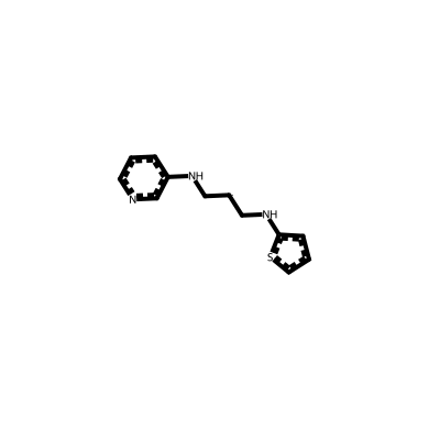 [CH](CNc1cccnc1)CNc1cccs1